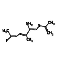 C=C(C)S/C=C(N)/C(C)=C/C=C(\C)F